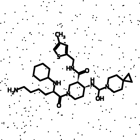 Cc1csc(CNC(=O)[C@H]2CN(C(=O)[C@@H](CCCCN)NC3CCCCC3)CC[C@H]2NC(O)N2CCC3(CC2)CC3)c1